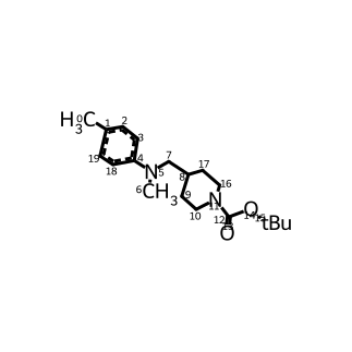 Cc1ccc(N(C)CC2CCN(C(=O)OC(C)(C)C)CC2)cc1